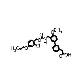 CCCOc1ccc(COC(=O)NCc2cc(-c3cccc(CC(=O)O)c3)ccc2OC)c(Cl)c1